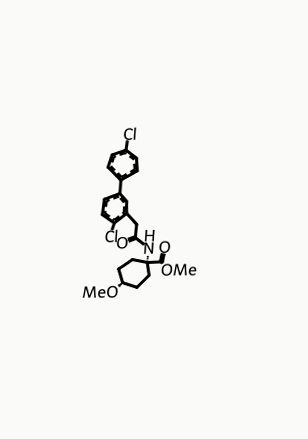 COC(=O)[C@]1(NC(=O)Cc2cc(-c3ccc(Cl)cc3)ccc2Cl)CC[C@H](OC)CC1